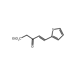 CCOC(=O)CC(=O)C=Cc1cccs1